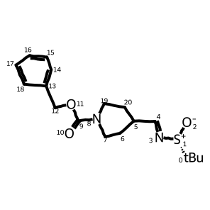 CC(C)(C)[S@@+]([O-])/N=C/C1CCN(C(=O)OCc2ccccc2)CC1